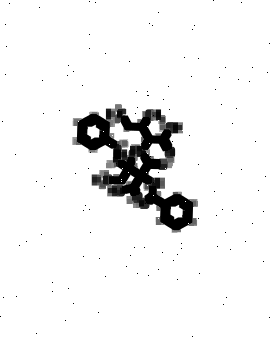 CCC(C)C(NC(=O)C(NC(=O)c1ccccc1)(C(=O)O)C(C)(CC)SSc1ccccc1)C(=O)O